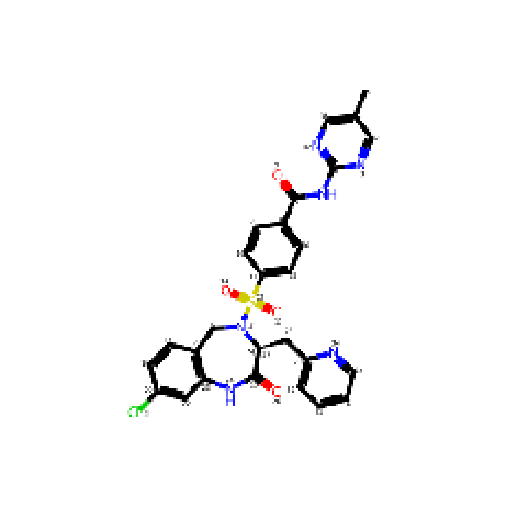 Cc1cnc(NC(=O)c2ccc(S(=O)(=O)N3Cc4ccc(Cl)cc4NC(=O)[C@@H]3Cc3ccccn3)cc2)nc1